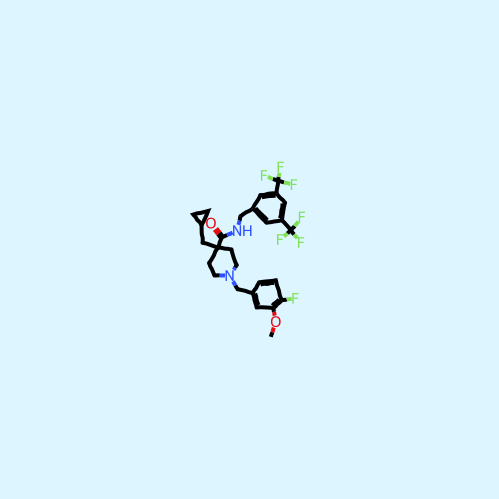 COc1cc(CN2CCC(CC3CC3)(C(=O)NCc3cc(C(F)(F)F)cc(C(F)(F)F)c3)CC2)ccc1F